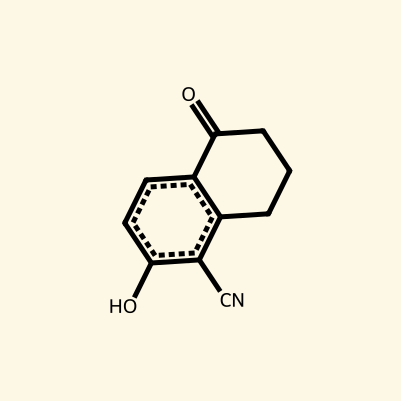 N#Cc1c(O)ccc2c1CCCC2=O